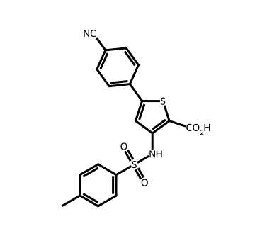 Cc1ccc(S(=O)(=O)Nc2cc(-c3ccc(C#N)cc3)sc2C(=O)O)cc1